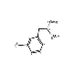 CO[C@@H](Cc1cccc(Cl)c1)C(=O)O